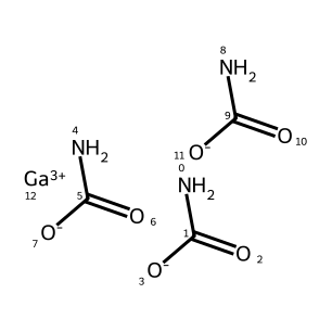 NC(=O)[O-].NC(=O)[O-].NC(=O)[O-].[Ga+3]